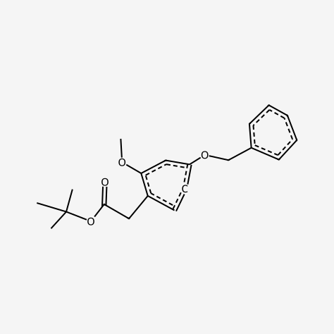 COc1cc(OCc2ccccc2)ccc1CC(=O)OC(C)(C)C